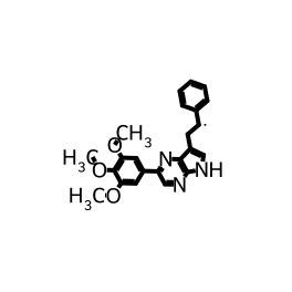 COc1cc(-c2cnc3[nH]cc(C[CH]c4ccccc4)c3n2)cc(OC)c1OC